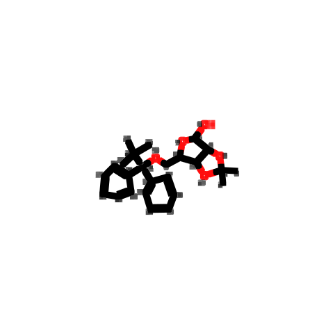 CC1(C)OC2C(O)OC(CO[Si](c3ccccc3)(c3ccccc3)C(C)(C)C)C2O1